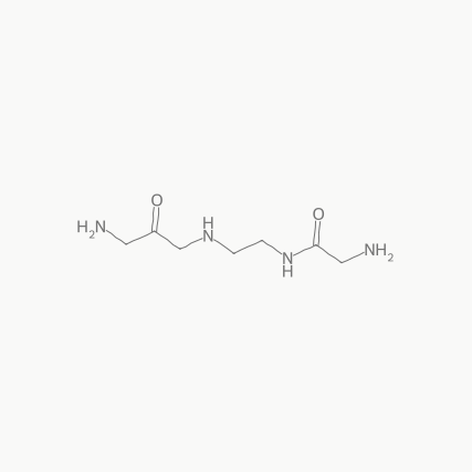 NCC(=O)CNCCNC(=O)CN